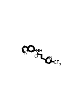 O=C(/C=C/c1ccc(C(F)(F)F)nc1)Nc1ccc2cccnc2c1